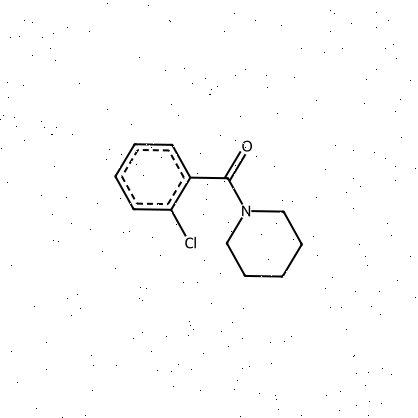 O=C(c1ccccc1Cl)N1CCCCC1